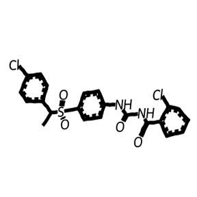 CC(c1ccc(Cl)cc1)S(=O)(=O)c1ccc(NC(=O)NC(=O)c2ccccc2Cl)cc1